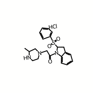 CC1CN(CC(=O)N2c3ccccc3CC2S(=O)(=O)c2ccccc2)CCN1.Cl